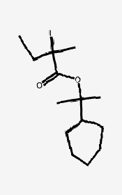 CCC(C)(I)C(=O)OC(C)(C)C1CCCCC1